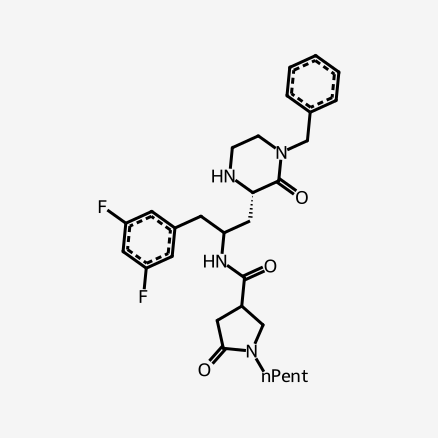 CCCCCN1CC(C(=O)NC(Cc2cc(F)cc(F)c2)C[C@@H]2NCCN(Cc3ccccc3)C2=O)CC1=O